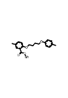 CCCOC(=O)c1cc(C)ccc1OCCCCOc1ccc(C)cc1